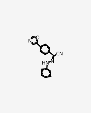 N#CC(=NNc1ccccc1)c1ccc(-c2cnco2)cc1